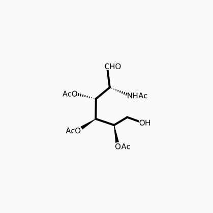 CC(=O)N[C@@H](C=O)[C@@H](OC(C)=O)[C@H](OC(C)=O)[C@@H](CO)OC(C)=O